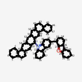 c1ccc2c(c1)ccc1cc3c(-n4c5ccccc5c5cc(-c6cccc7c6oc6ccccc67)ccc54)c4cc5c(ccc6ccccc65)cc4cc3cc12